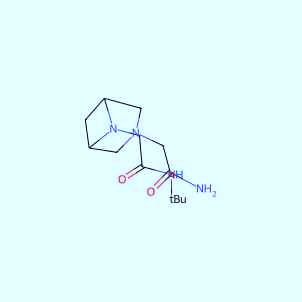 CC(C)(C)NC(=O)CN1C2CC1CN(CC(N)=O)C2